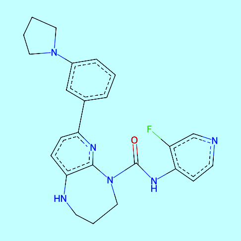 O=C(Nc1ccncc1F)N1CCCNc2ccc(-c3cccc(N4CCCC4)c3)nc21